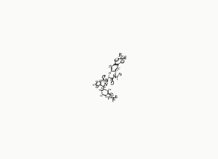 CCN(C(=O)Cn1nc(-c2cccc(OC(F)(F)F)c2)c2occc2c1=O)c1ccc2c(c1)OC(F)(F)O2